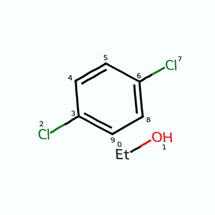 CCO.Clc1ccc(Cl)cc1